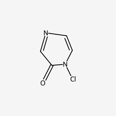 O=c1cnccn1Cl